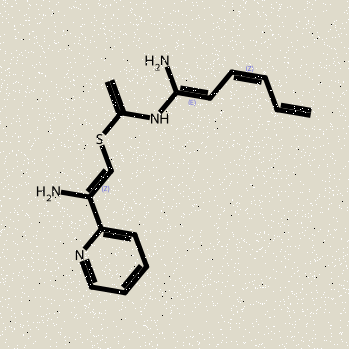 C=C/C=C\C=C(/N)NC(=C)S/C=C(\N)c1ccccn1